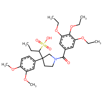 CCOc1cc(C(=O)N2CCC(c3ccc(OC)c(OC)c3)(C(CC)S(=O)(=O)O)C2)cc(OCC)c1OCC